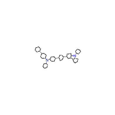 c1ccc(-c2ccc(N(c3ccccc3)c3ccc(-c4ccc(-c5ccc6c(c5)c5ccccc5n6-c5ccccc5)cc4)cc3)cc2)cc1